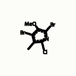 COc1c(Br)nc(Cl)c(C)c1Br